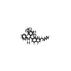 [N-]=[N+]=NCc1ccc2ccc(C(Nc3ccccn3)c3ccc4c(c3)OCO4)c(O)c2n1